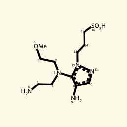 COCCN(CCN)c1c(N)cnn1CCCS(=O)(=O)O